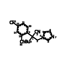 CCCCC(C#N)(Cn1ccnc1)c1ccc(Cl)cc1Cl